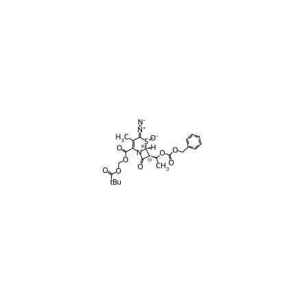 CC1=C(C(=O)OCOC(=O)C(C)(C)C)N2C(=O)[C@H](C(C)OC(=O)OCc3ccccc3)[C@H]2[S+]([O-])C1=[N+]=[N-]